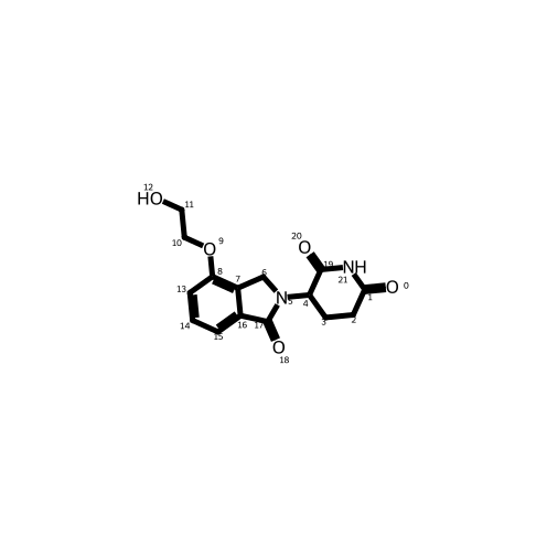 O=C1CCC(N2Cc3c(OCCO)cccc3C2=O)C(=O)N1